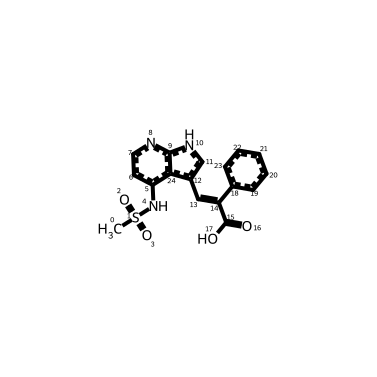 CS(=O)(=O)Nc1ccnc2[nH]cc(/C=C(/C(=O)O)c3ccccc3)c12